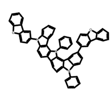 c1ccc(-n2c3ccc(-c4ccc5oc6ccccc6c5c4)cc3c3c2ccc2c4ccc5c(c6ccccc6n5-c5ccc6oc7ccccc7c6c5)c4n(-c4ccccc4)c23)cc1